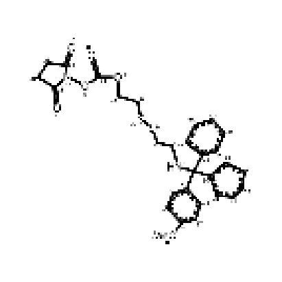 COc1ccc(C(NCCSSCCOC(=O)ON2C(=O)CCC2=O)(c2ccccc2)c2ccccc2)cc1